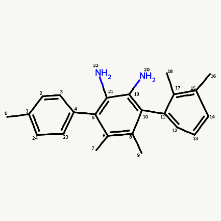 Cc1ccc(-c2c(C)c(C)c(-c3cccc(C)c3C)c(N)c2N)cc1